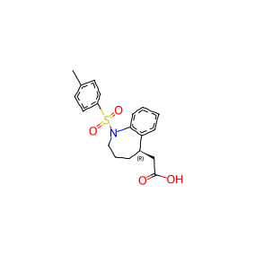 Cc1ccc(S(=O)(=O)N2CCC[C@H](CC(=O)O)c3ccccc32)cc1